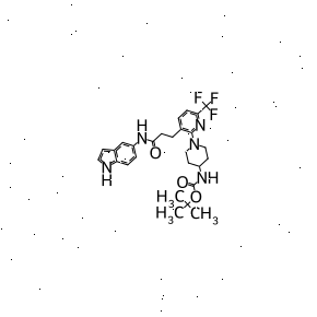 CC(C)(C)OC(=O)NC1CCN(c2nc(C(F)(F)F)ccc2CCC(=O)Nc2ccc3[nH]ccc3c2)CC1